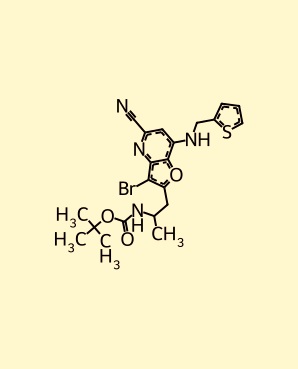 CC(Cc1oc2c(NCc3cccs3)cc(C#N)nc2c1Br)NC(=O)OC(C)(C)C